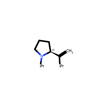 C=C(C(C)C)[C@@H]1CCCN1C(C)C